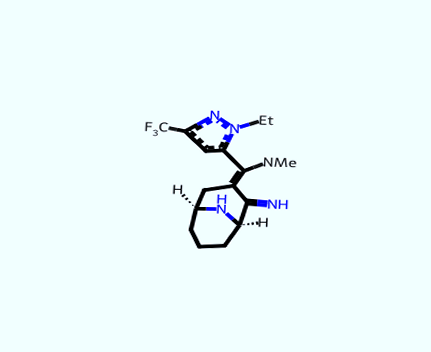 CCn1nc(C(F)(F)F)cc1/C(NC)=C1\C[C@@H]2CCC[C@@H](N2)C1=N